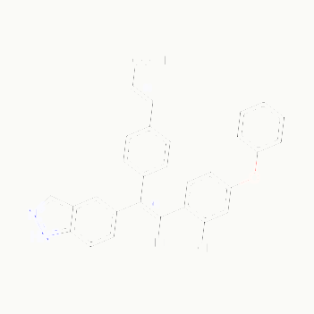 CC/C(=C(/c1ccc(/C=C/C(=O)O)cc1)c1ccc2[nH]ncc2c1)c1ccc(Oc2ccccc2)cc1C